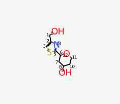 OCc1csc(C2CC(O)CCO2)n1